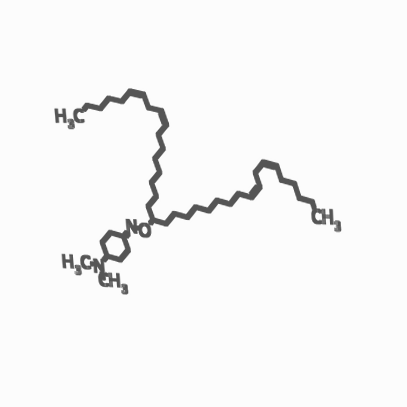 CCCCC/C=C\C/C=C\CCCCCCCCC(CCCCCCC/C=C\C/C=C\CCCCC)ON=C1CCC(N(C)C)CC1